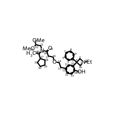 CCN1CC(c2ccccc2)(c2cc(CCOCCC(=O)N(CC(OC)OC)[C@H](C)C3CCCC3)ccc2O)C1